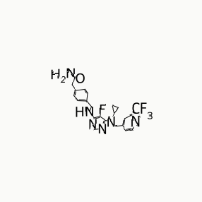 NC(=O)Cc1ccc(CNc2ncnc(N(Cc3ccnc(C(F)(F)F)c3)C3CC3)c2F)cc1